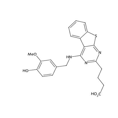 COc1cc(CNc2nc(CCCC(=O)O)nc3sc4ccccc4c23)ccc1O